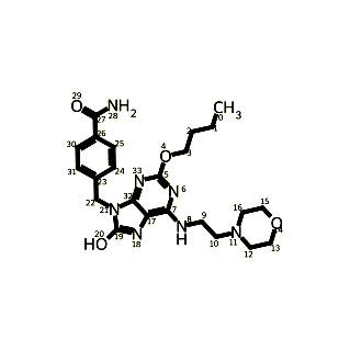 CCCCOc1nc(NCCN2CCOCC2)c2nc(O)n(Cc3ccc(C(N)=O)cc3)c2n1